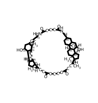 C[C@@H]1CCC(=O)OCCOC(=O)CC[C@H](C)[C@@H]2CC[C@@H]3C4[C@H](O)CC5C[C@@H](CC[C@@]5(C)[C@@H]4CC[C@]32C)NC(=O)CCCC(=O)N[C@H]2CC[C@@]3(C)C(C2)C[C@H](O)C2[C@@H]4CC[C@H]1[C@@]4(C)CC[C@@H]23